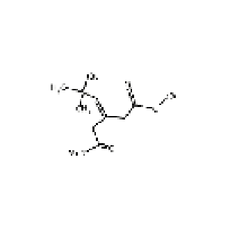 CNC(=O)C/C(=C\S(C)(C)C(C)(C)C)CC(=O)OC(C)(C)C